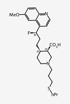 CCCSCCCN1CC[C@@H](CC[C@@H](F)c2ccnc3ccc(OC)cc23)[C@@H](C(=O)O)C1